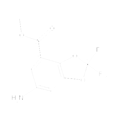 COC(=O)c1cc(N)cc2c1OC(F)(F)O2